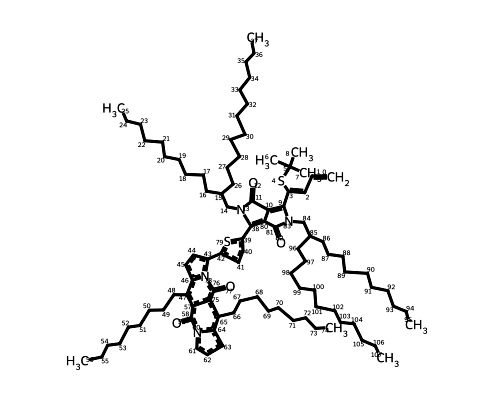 C=C/C=C(\SC(C)(C)C)C1=C2C(=O)N(CC(CCCCCCCCCC)CCCCCCCCCCCC)C(c3ccc(-c4ccc5c(CCCCCCCCC)c6c(=O)n7cccc7c(CCCCCCCCC)c6c(=O)n45)s3)=C2C(=O)N1CC(CCCCCCCCCC)CCCCCCCCCCCC